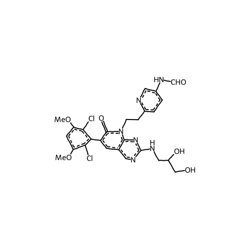 COc1cc(OC)c(Cl)c(-c2cc3cnc(NCC(O)CO)nc3n(CCc3ccc(NC=O)cn3)c2=O)c1Cl